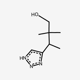 CC(c1c[nH]nn1)C(C)(C)CO